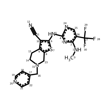 CNc1nc(Nc2sc3c(c2C#N)CCN(Cc2ccncc2)C3)ncc1C(F)(F)F